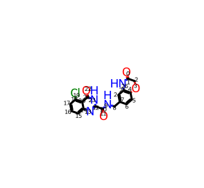 O=C1COc2ccc(CNC(=O)c3nc4cccc(Cl)c4c(=O)[nH]3)cc2N1